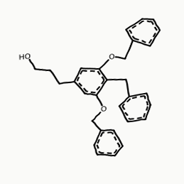 OCCCc1cc(OCc2ccccc2)c(Cc2ccccc2)c(OCc2ccccc2)c1